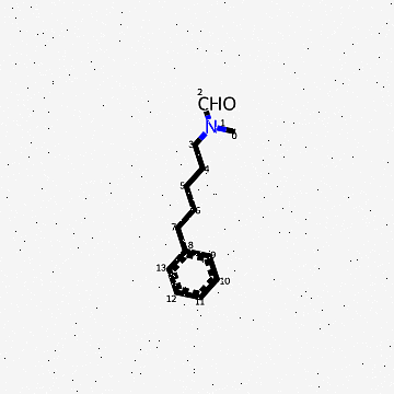 CN(C=O)CCCCCc1ccccc1